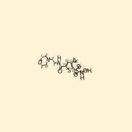 O=C(NCCN1CCOCC1)c1cc(Br)c(S(=O)(=O)NO)s1